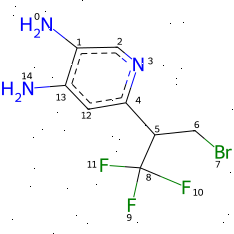 Nc1cnc(C(CBr)C(F)(F)F)cc1N